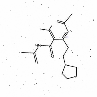 C=C(C)/C=C(/CCC1CCCC1)C(C(=O)NC(=C)C)=C(C)C